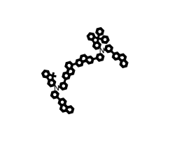 CC1(C)c2ccccc2-c2ccc(N(c3cccc(-c4ccc5c(ccc6ccccc65)c4)c3)c3cccc(-c4ccc5c(ccc6c(-c7ccc8c(ccc9cc(-c%10cccc(N(c%11cccc(-c%12ccc%13c(ccc%14ccccc%14%13)c%12)c%11)c%11ccc%12c(c%11)C(c%11ccccc%11)(c%11ccccc%11)c%11ccccc%11-%12)c%10)ccc98)c7)cccc65)c4)c3)cc21